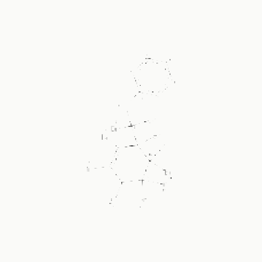 BrC1=C(Br)C(Br)(C(Br)(Br)Oc2ccccc2)C(Br)(Br)C(Br)(Br)C1Br